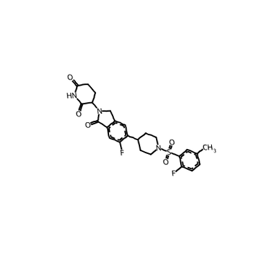 Cc1ccc(F)c(S(=O)(=O)N2CCC(c3cc4c(cc3F)C(=O)N(C3CCC(=O)NC3=O)C4)CC2)c1